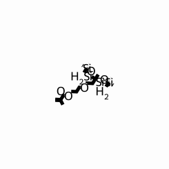 C=C(C)C(=O)OCCCOCCC(C)([SiH2]O[Si](C)(C)C)[SiH2]O[Si](C)(C)C